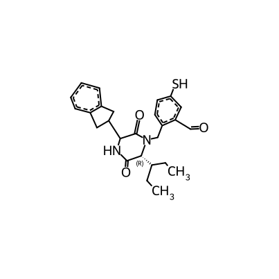 CCC(CC)[C@@H]1C(=O)NC(C2Cc3ccccc3C2)C(=O)N1Cc1ccc(S)cc1C=O